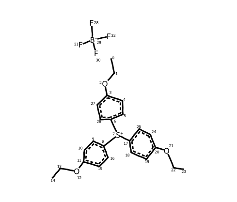 CCOc1ccc([S+](c2ccc(OCC)cc2)c2ccc(OCC)cc2)cc1.F[B-](F)(F)F